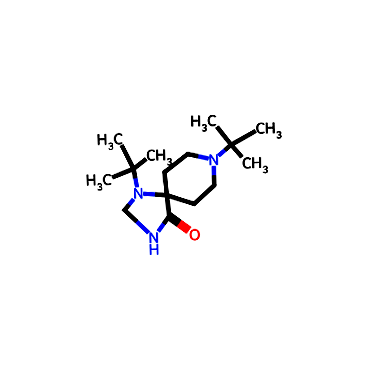 CC(C)(C)N1CCC2(CC1)C(=O)NCN2C(C)(C)C